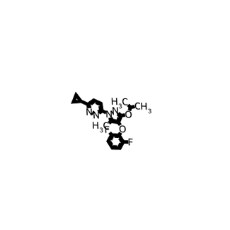 Cc1c(Oc2c(F)cccc2F)c(OC(C)C)nn1-c1ccc(C2CC2)nn1